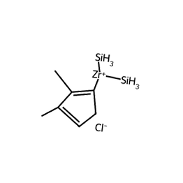 CC1=CC[C]([Zr+]([SiH3])[SiH3])=C1C.[Cl-]